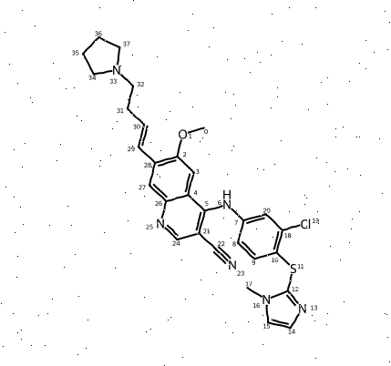 COc1cc2c(Nc3ccc(Sc4nccn4C)c(Cl)c3)c(C#N)cnc2cc1C=CCCN1CCCC1